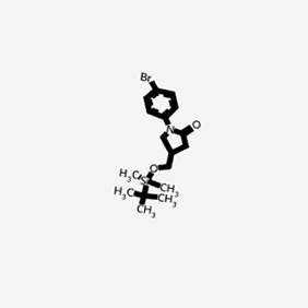 CC(C)(C)[Si](C)(C)OCC1CC(=O)N(c2ccc(Br)cc2)C1